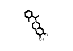 Cc1ccccc1C(C)N1CCn2cc(O)c(=O)cc2C1